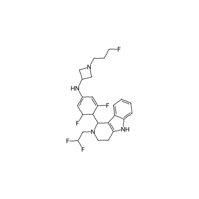 FCCCN1CC(NC2=CC(F)C(C3c4c([nH]c5ccccc45)CCN3CC(F)F)C(F)=C2)C1